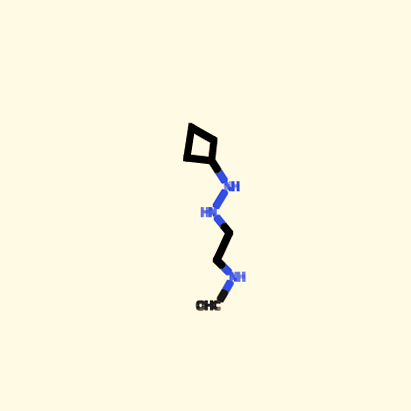 O=CNCCNNC1CCC1